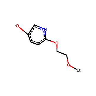 CCOCCOc1ccc([O])cn1